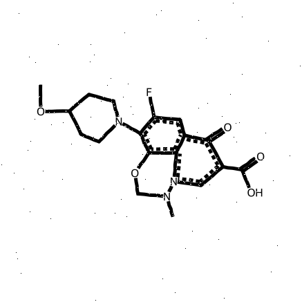 COC1CCN(c2c(F)cc3c(=O)c(C(=O)O)cn4c3c2OCN4C)CC1